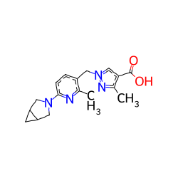 Cc1nc(N2CC3CC3C2)ccc1Cn1cc(C(=O)O)c(C)n1